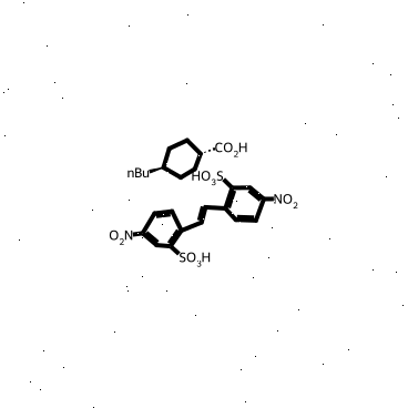 CCCC[C@H]1CC[C@H](C(=O)O)CC1.O=[N+]([O-])c1ccc(C=Cc2ccc([N+](=O)[O-])cc2S(=O)(=O)O)c(S(=O)(=O)O)c1